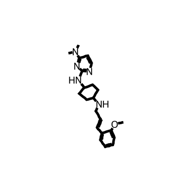 COc1ccccc1C=CCNC1CCC(Nc2nccc(N(C)C)n2)CC1